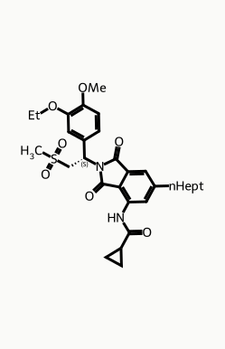 CCCCCCCc1cc(NC(=O)C2CC2)c2c(c1)C(=O)N([C@H](CS(C)(=O)=O)c1ccc(OC)c(OCC)c1)C2=O